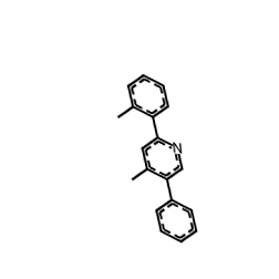 Cc1cc(-c2ccccc2C)ncc1-c1ccccc1